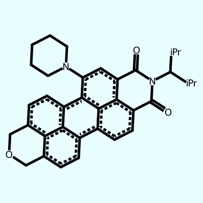 CC(C)C(C(C)C)N1C(=O)c2ccc3c4ccc5c6c(ccc(c7c(N8CCCCC8)cc(c2c37)C1=O)c64)COC5